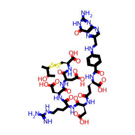 CC(O)C(C)SSC[C@H](NC(=O)C(CC(=O)O)NC(=O)[C@H](CC(=O)O)NC(=O)C(CCCNC(=N)N)NC(=O)[C@H](CC(=O)O)NC(=O)CC[C@H](NC(=O)c1ccc(NCc2cnc3nc(N)[nH]c(=O)c3n2)cc1)C(=O)O)C(=O)O